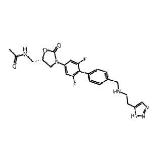 CC(=O)NC[C@H]1CN(c2cc(F)c(-c3ccc(CNCCc4cnn[nH]4)cc3)c(F)c2)C(=O)O1